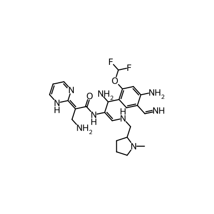 CN1CCCC1CN/C=C(/NC(=O)/C(CN)=C1\N=CC=CN1)C(N)c1cc(C=N)c(N)cc1OC(F)F